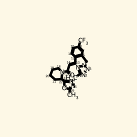 Cc1nnn(Cc2cc(C(F)(F)F)ccc2C=CC(=O)N2CCCCC2c2nnc(C)o2)n1